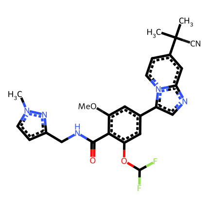 COc1cc(-c2cnc3cc(C(C)(C)C#N)ccn23)cc(OC(F)F)c1C(=O)NCc1ccn(C)n1